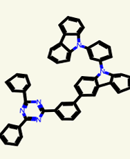 c1ccc(-c2nc(-c3ccccc3)nc(-c3cccc(-c4ccc5c(c4)c4ccccc4n5-c4cccc(-n5c6ccccc6c6ccccc65)c4)c3)n2)cc1